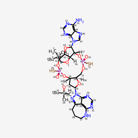 CC(C)(C)[Si](C)(C)CO[C@H]1[C@H]2OP(=O)(S)OC[C@H]3O[C@@H](n4nc5c6c(ncnc64)NCCC5)[C@H](O[Si](C)(C)C(C)(C)C)[C@@H]3OP(=O)(S)OC[C@H]1O[C@H]2n1cnc2c(N)ncnc21